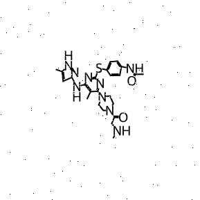 CNCC(=O)N1CCN(c2nc(Sc3ccc(NC(C)=O)cc3)nc(Nc3cc(C)[nH]n3)c2C)CC1